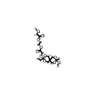 CCC1(OCC(=O)OCCOC(=O)COC)OCC2(COC(C)(OC)OC2)CO1